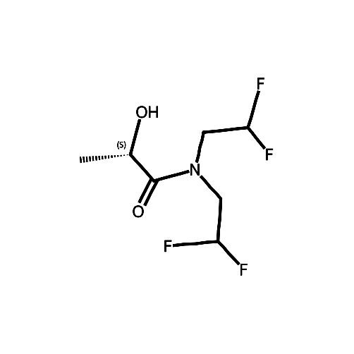 C[C@H](O)C(=O)N(CC(F)F)CC(F)F